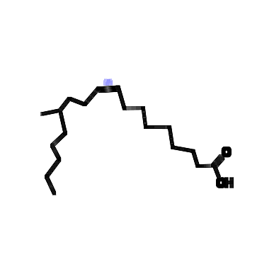 CCCCCC(C)CC/C=C\CCCCCCCC(=O)O